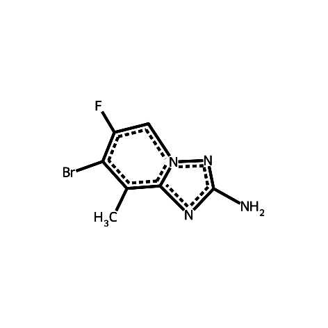 Cc1c(Br)c(F)cn2nc(N)nc12